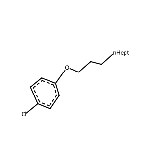 [CH2]CCCCCCCCCOc1ccc(Cl)cc1